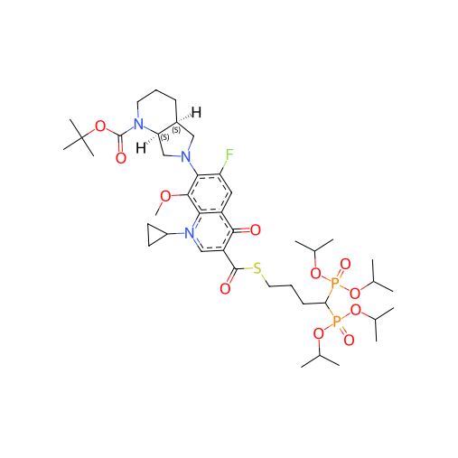 COc1c(N2C[C@@H]3CCCN(C(=O)OC(C)(C)C)[C@@H]3C2)c(F)cc2c(=O)c(C(=O)SCCCC(P(=O)(OC(C)C)OC(C)C)P(=O)(OC(C)C)OC(C)C)cn(C3CC3)c12